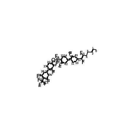 C/C=C/CC/C(F)=C(\F)c1ccc(-c2ccc(C(F)(F)Oc3ccc(-c4cc(F)c(C(F)(F)F)c(F)c4)c(F)c3)c(F)c2)c(F)c1